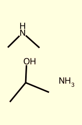 CC(C)O.CNC.N